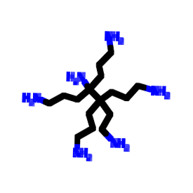 NCCCC(N)(CCCN)C(CCN)(CCCN)CCCN